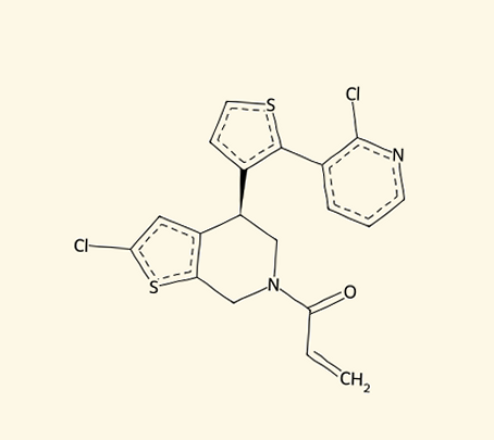 C=CC(=O)N1Cc2sc(Cl)cc2[C@@H](c2ccsc2-c2cccnc2Cl)C1